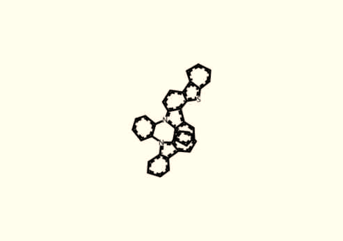 c1ccc(-n2c3ccccc3c3c4sc5ccccc5c4ccc32)c(-n2c3ccccc3c3ccccc32)c1